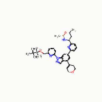 CCC[C@H](N[S@+](C)[O-])c1cccc(-c2cc(C3=CCOCC3)c3cnn(-c4cccc(CO[Si](C)(C)C(C)(C)C)n4)c3c2)n1